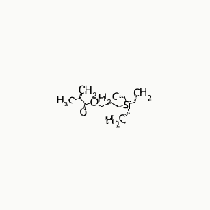 C=C[Si](C=C)(C=C)CCCOC(=O)C(=C)C